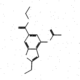 CCOC(=O)c1cc(OC(C)=O)c2cc(CC)oc2c1